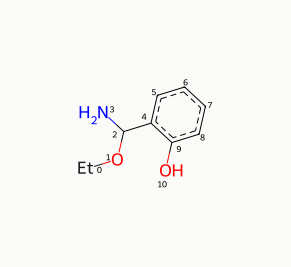 CCOC(N)c1ccccc1O